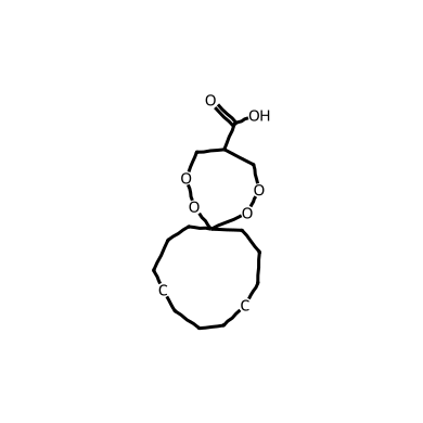 O=C(O)C1COOC2(CCCCCCCCCCC2)OOC1